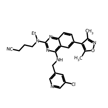 CCN(CCCC#N)c1nc(NCc2cncc(Cl)c2)c2cc(-c3c(C)noc3C)ccc2n1